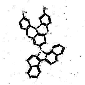 CC(C)(C)c1ccc2c(c1)B1c3cc(C(C)(C)C)ccc3Oc3cc(-n4c5ccc6ccccc6c5c5ccc6ccccc6c54)cc(c31)O2